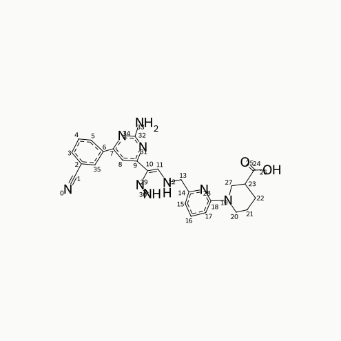 N#Cc1cccc(-c2cc(/C(=C/NCc3cccc(N4CCCC(C(=O)O)C4)n3)N=N)nc(N)n2)c1